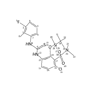 Cc1c(F)cccc1NC(=S)Nc1ccc(Cl)c(S(=O)(=O)N(C)C)c1O[Si](C)(C)C(C)(C)C